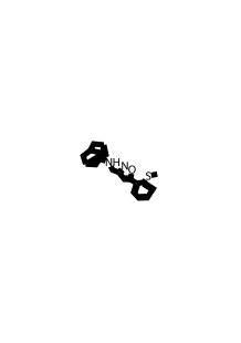 CSc1ccccc1-c1cc(CNC23CC4CC(CC(C4)C2)C3)no1